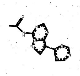 CC(=O)Nc1ncnc2c(-c3ccncn3)cnn12